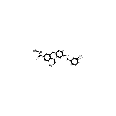 C/C=C\c1ccc(C(=O)NN=O)cc1Cc1ccc(OCc2cccc(C(F)(F)F)c2)cc1